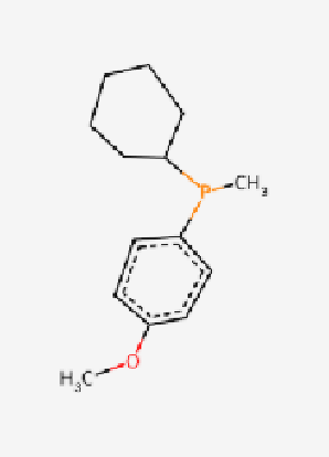 COc1ccc(P(C)C2CCCCC2)cc1